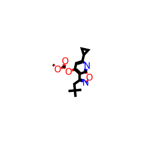 COC(=O)Oc1cc(C2CC2)nc2onc(CC(C)(C)C)c12